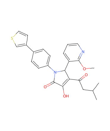 COc1ncccc1C1C(C(=O)CC(C)C)=C(O)C(=O)N1c1ccc(-c2ccsc2)cc1